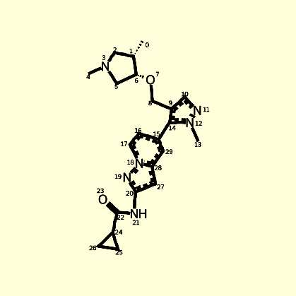 C[C@H]1CN(C)C[C@H]1OCc1cnn(C)c1-c1ccn2nc(NC(=O)C3CC3)cc2c1